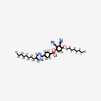 CCCCCCCCOc1ccc(OC(=O)c2ccc(-c3ncc(CCCCCCCC)cn3)cc2)c(C#N)c1C#N